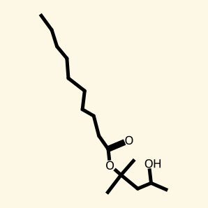 CCCCCCCCCC(=O)OC(C)(C)CC(C)O